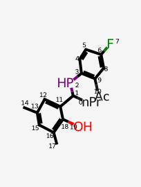 CCCC(Pc1ccc(F)cc1C(C)=O)c1cc(C)cc(C)c1O